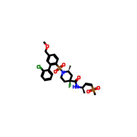 COCc1ccc(S(=O)(=O)N2CC[C@@](F)(C(=O)N[C@H](C)/C=C\S(C)(=O)=O)C[C@H]2C)c(-c2ccccc2Cl)c1